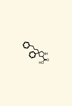 O=C(O)C1CC(CCCc2ccccc2)(c2ccccc2)CN1